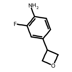 Nc1ccc(C2COC2)cc1F